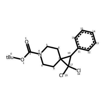 CC(C)(C)OC(=O)N1CCC2(CC1)C(c1ccccc1)C2(Cl)Cl